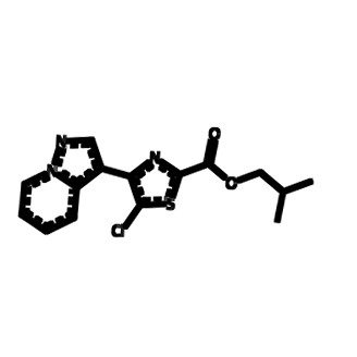 CC(C)COC(=O)c1nc(-c2cnn3ccccc23)c(Cl)s1